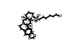 O=S(=O)(CCCCCCCl)N1CCC[C@H]2CN3CCc4cc5c(cc4[C@@H]3C[C@H]21)OCO5